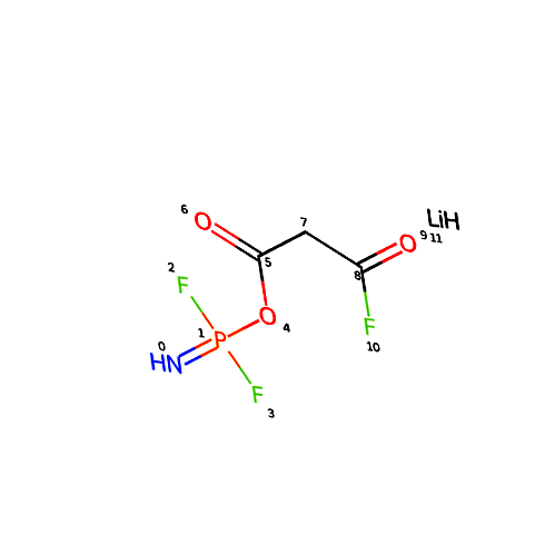 N=P(F)(F)OC(=O)CC(=O)F.[LiH]